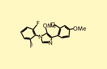 COc1ccc(-c2ncn(-c3c(F)cccc3F)c2OC)c(Cl)c1